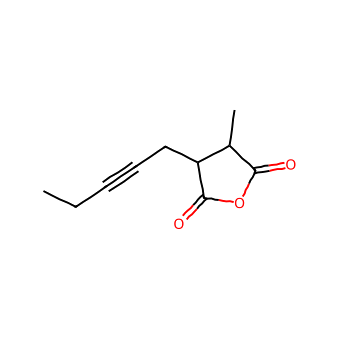 CCC#CCC1C(=O)OC(=O)C1C